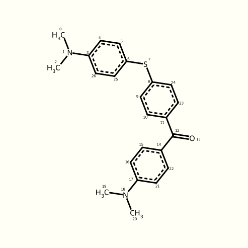 CN(C)c1ccc(Sc2ccc(C(=O)c3ccc(N(C)C)cc3)cc2)cc1